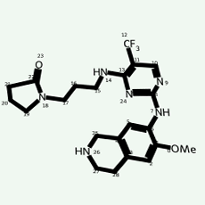 COc1cc2c(cc1Nc1ncc(C(F)(F)F)c(NCCCN3CCCC3=O)n1)CNCC2